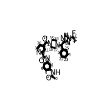 CC(=O)Nc1ccc2oc(-c3cc(C(=O)N4CCN(C(c5ccccc5)c5nnn(C(F)F)n5)CC4)ccn3)nc2c1